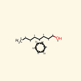 CCCCCCCCO.c1ccccc1